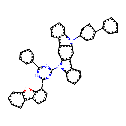 c1ccc(-c2ccc(-n3c4ccccc4c4cc5c(cc43)c3ccccc3n5-c3nc(-c4ccccc4)nc(-c4cccc5c4oc4ccccc45)n3)cc2)cc1